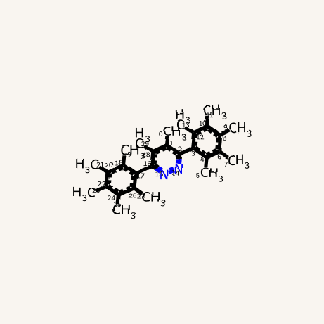 Cc1c(-c2c(C)c(C)c(C)c(C)c2C)nnc(-c2c(C)c(C)c(C)c(C)c2C)c1C